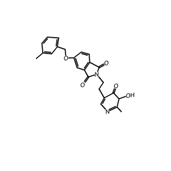 CC1=NC=C(CCN2C(=O)c3ccc(OCc4cccc(C)c4)cc3C2=O)C(=O)C1O